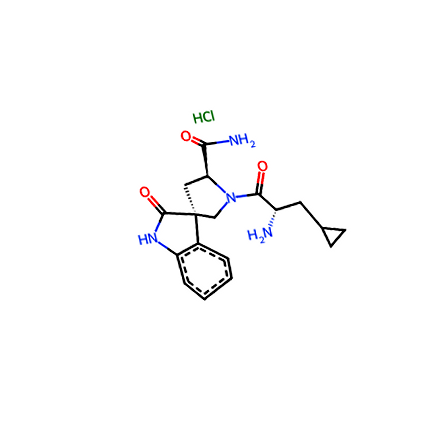 Cl.NC(=O)[C@@H]1C[C@@]2(CN1C(=O)[C@@H](N)CC1CC1)C(=O)Nc1ccccc12